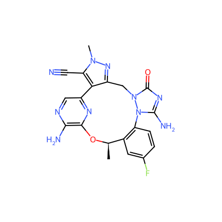 C[C@H]1Oc2nc(cnc2N)-c2c(nn(C)c2C#N)Cn2c(=O)nc(N)n2-c2ccc(F)cc21